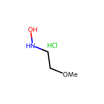 COCCNO.Cl